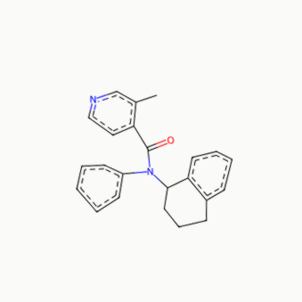 Cc1cnccc1C(=O)N(c1ccccc1)C1CCCc2ccccc21